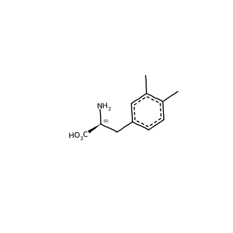 Cc1ccc(C[C@H](N)C(=O)O)cc1C